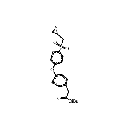 CC(C)COC(=O)Cc1ccc(Oc2ccc(S(=O)(=O)CC3CS3)cc2)cc1